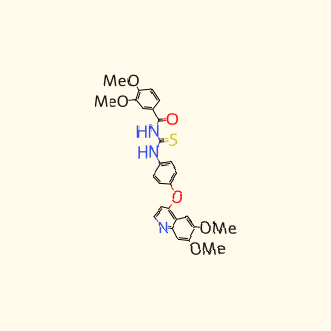 COc1ccc(C(=O)NC(=S)Nc2ccc(Oc3ccnc4cc(OC)c(OC)cc34)cc2)cc1OC